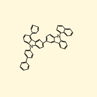 c1ccc(-c2ccc(-n3c4ccc(-c5ccc6c(c5)c5ccccc5n6-c5cccc6ccccc56)cc4c4c(-c5ccccc5)cccc43)cc2)cc1